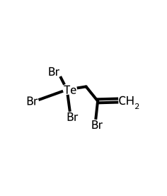 C=C(Br)C[Te](Br)(Br)Br